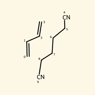 C=CC=C.N#CCCCCC#N